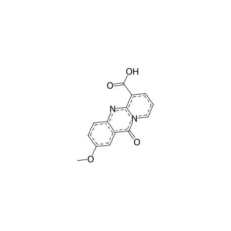 COc1ccc2nc3c(C(=O)O)cccn3c(=O)c2c1